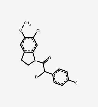 COc1cc2c(cc1Cl)N(C(=O)C(Br)c1ccc(Cl)cc1)CC2